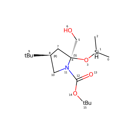 C[SiH](C)O[C@]1(CO)C[C@H](C(C)(C)C)CN1C(=O)OC(C)(C)C